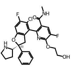 CNC(=O)c1cc(F)c(OCCO)nc1-c1c(Cl)c(F)cc2c1C[C@](c1ccccc1)(C1CCCN1)O2